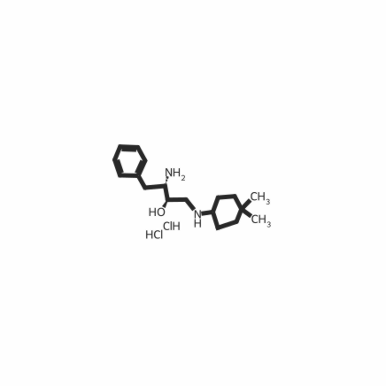 CC1(C)CCC(NC[C@@H](O)[C@@H](N)Cc2ccccc2)CC1.Cl.Cl